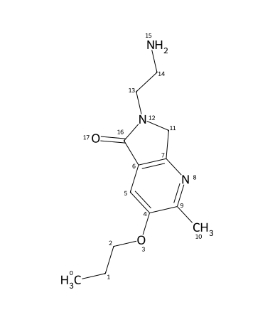 CCCOc1cc2c(nc1C)CN(CCN)C2=O